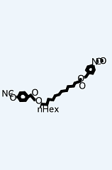 CCCCCC[C@H](CCCCCCCCCCC(=O)OCc1ccc(N=C=O)cc1)OCC(=O)c1ccc(OC#N)cc1